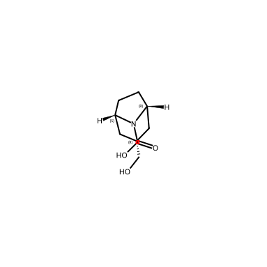 O=C(O)N1[C@@H]2CC[C@H]1C[C@@H](CO)C2